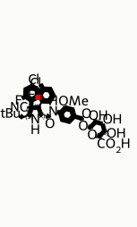 COc1cc(C(=O)OC2O[C@H](C(=O)O)[C@@H](O)C(O)[C@H]2O)ccc1NC(=O)[C@@H]1N[C@@H](CC(C)(C)C)[C@](C#N)(c2ccc(Cl)cc2F)[C@H]1c1cccc(Cl)c1F